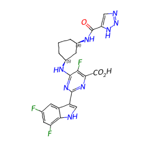 O=C(N[C@@H]1CCC[C@H](Nc2nc(-c3c[nH]c4c(F)cc(F)cc34)nc(C(=O)O)c2F)C1)c1cnn[nH]1